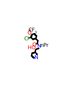 CCCN(CC(O)c1cccnc1)C(=O)Cc1ccc(OC(F)(F)F)c(Cl)c1